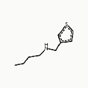 CCCCNCc1ccsc1